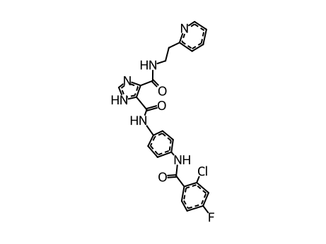 O=C(Nc1ccc(NC(=O)c2[nH]cnc2C(=O)NCCc2ccccn2)cc1)c1ccc(F)cc1Cl